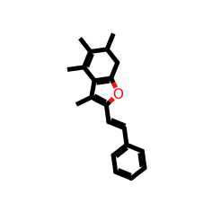 CC1=C(C)C(C)Cc2oc(C=Cc3ccccc3)c(C)c21